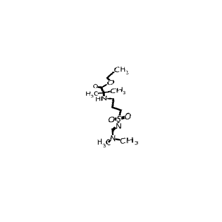 CCOC(=O)C(C)(C)NCCCS(=O)(=O)/N=C/N(C)C